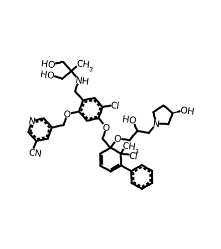 CC(CO)(CO)NCc1cc(Cl)c(OCC2(OCC(O)CN3CC[C@@H](O)C3)C=CC=C(c3ccccc3)C2(C)Cl)cc1OCc1cncc(C#N)c1